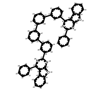 c1ccc(-c2nc(-c3cccc(-c4cccc(-c5cccc(-c6cccc(-c7nc(-c8ccccc8)c8c(n7)oc7ccccc78)c6)c5)c4)c3)c3c(n2)oc2ccccc23)cc1